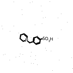 O=S(=O)(O)c1ccc(CN2C=CCCC2)cc1